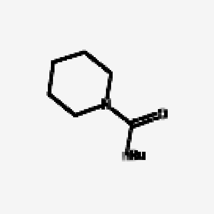 [CH2]CCCC(=O)N1CCCCC1